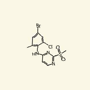 Cc1cc(Br)cc(Cl)c1Nc1ccnc(S(C)(=O)=O)n1